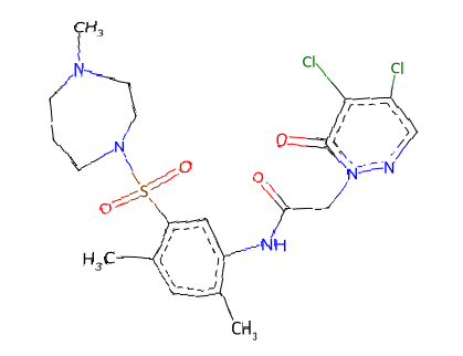 Cc1cc(C)c(S(=O)(=O)N2CCCN(C)CC2)cc1NC(=O)Cn1ncc(Cl)c(Cl)c1=O